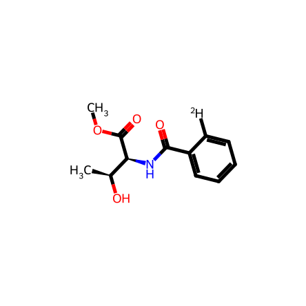 [2H]c1ccccc1C(=O)N[C@H](C(=O)OC)[C@H](C)O